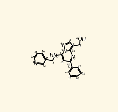 OCc1cnn2c(NCc3cccnc3)cc(-c3ccccc3)nc12